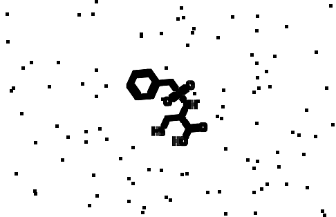 O=C(O)C(CS)NS(=O)(=O)Cc1ccccc1